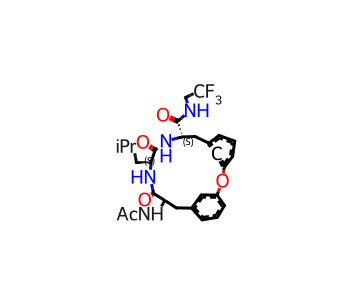 CC(=O)NC1Cc2cccc(c2)Oc2cccc(c2)C[C@@H](C(=O)NCC(F)(F)F)NC(=O)[C@H](CC(C)C)NC1=O